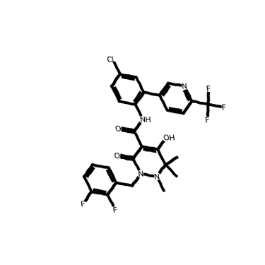 CN1N(Cc2cccc(F)c2F)C(=O)C(C(=O)Nc2ccc(Cl)cc2-c2ccc(C(F)(F)F)nc2)=C(O)C1(C)C